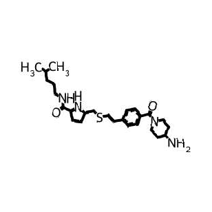 CC(C)CCCNC(=O)C1CCC(CSCCc2ccc(C(=O)N3CCC(N)CC3)cc2)N1